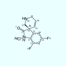 Cl.O=C1Nc2c(F)cc(F)cc2[C@@]12C=CCNC2